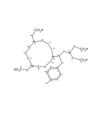 Cc1ccc(CC(CN(CC(=O)O)CC(=O)O)N2CCCN(CC(=O)O)CCCN(CC(=O)O)CCC2)cc1